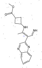 COC(=O)C1CC(N/C(C)=C(\C=N)c2cnc3ccccc3n2)C1